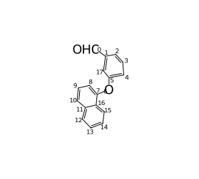 O=Cc1cccc(Oc2cccc3ccccc23)c1